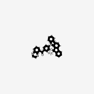 CC1(C)c2ccccc2-c2ccc3c4ccccc4n(-c4ccc(C(=O)c5cccc6nccnc56)cc4)c3c21